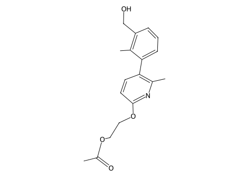 CC(=O)OCCOc1ccc(-c2cccc(CO)c2C)c(C)n1